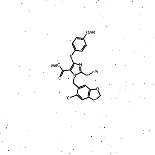 CCCSc1nc(Sc2ccc(OC)cc2)c(C(=O)OC)n1Cc1cc2c(cc1Cl)OCO2